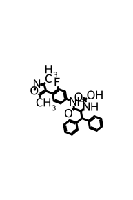 Cc1noc(C)c1-c1ccc(NC(=O)C(NC(=O)O)C(c2ccccc2)c2ccccc2)cc1F